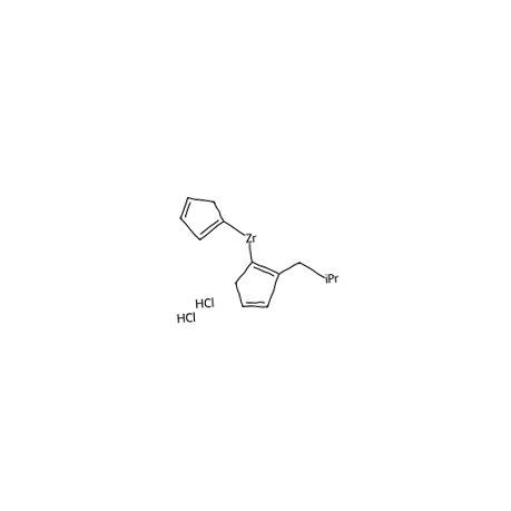 CC(C)CC1=[C]([Zr][C]2=CC=CC2)CC=C1.Cl.Cl